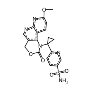 COc1ccc2c3c(cnc2n1)COC(=O)N3C1(c2ccc(S(N)(=O)=O)cn2)CC1